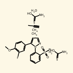 C.C.C#CC.COc1ccc(-c2ccnn2-c2ccccc2S(N)(=O)=O)cc1F.NC(O)=S.NC(O)=S.O